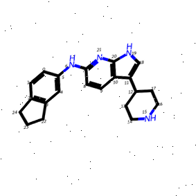 c1cc2c(cc1Nc1ccc3c(C4CCNCC4)c[nH]c3n1)CCC2